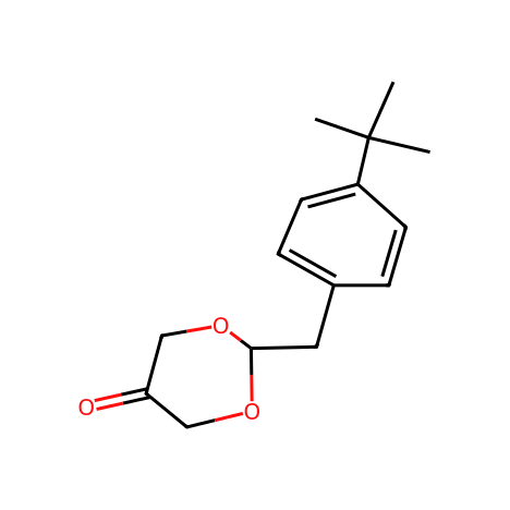 CC(C)(C)c1ccc(CC2OCC(=O)CO2)cc1